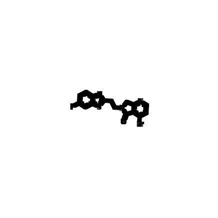 O=C1c2c(Br)ccnc2CN1CCc1nc2ccc(F)cc2s1